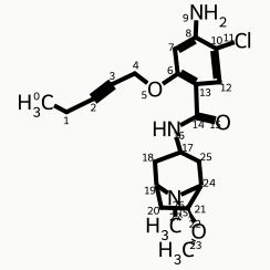 CCC#CCOc1cc(N)c(Cl)cc1C(=O)NC1CC2C[C@H](OC)C(C1)N2C